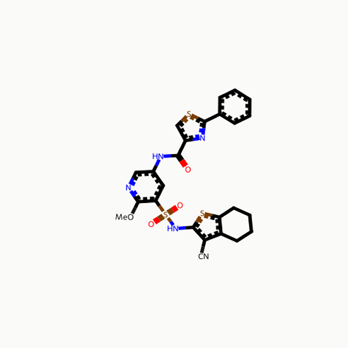 COc1ncc(NC(=O)c2csc(-c3ccccc3)n2)cc1S(=O)(=O)Nc1sc2c(c1C#N)CCCC2